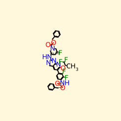 CC(Oc1nc2nc(N[C@H]3C[C@H](F)CN(C(=O)OCc4ccccc4)C3)ncc2cc1-c1ccc(NS(=O)(=O)Cc2ccccc2)c(F)c1F)C(F)F